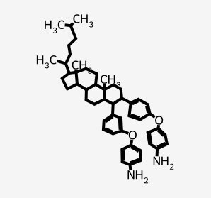 CC(C)CCCC(C)C1CCC2C3CCC4C(c5cccc(Oc6ccc(N)cc6)c5)C(c5ccc(Oc6ccc(N)cc6)cc5)CCC4(C)C3CCC12C